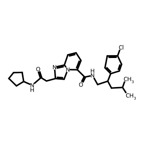 CC(C)CC(CNC(=O)c1cccc2nc(CC(=O)NC3CCCC3)cn12)c1ccc(Cl)cc1